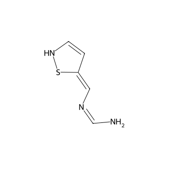 N/C=N\C=C1\C=CNS1